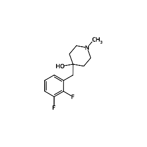 CN1CCC(O)(Cc2cccc(F)c2F)CC1